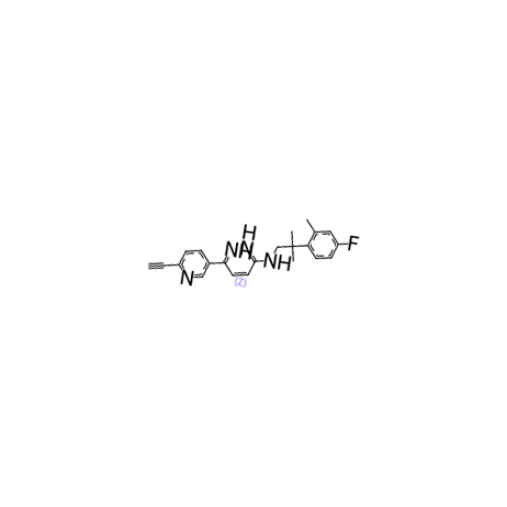 C#Cc1ccc(C(=N)/C=C\C(=N)NCC(C)(C)c2ccc(F)cc2C)cn1